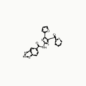 O=C(Nc1nc(-c2ccco2)c(C(=O)c2ccccn2)s1)c1ccc2snnc2c1